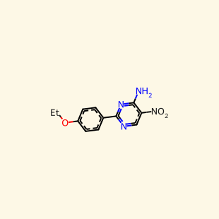 CCOc1ccc(-c2ncc([N+](=O)[O-])c(N)n2)cc1